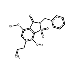 C=CCc1cc(OCC)c2c(c1OC)S(=O)(=O)N(Cc1ccccc1)C2=O